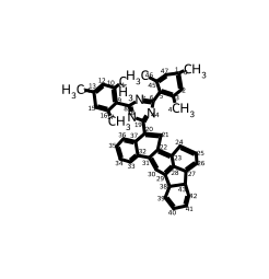 Cc1cc(C)c(-c2nc(-c3c(C)cc(C)cc3C)nc(-c3cc4c5cccc6c5c(cc4c4ccccc34)C3C=CC=CC63)n2)c(C)c1